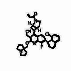 C=CC(=O)N1CC[C@@H]2[C@H]1CN2c1c(CC#N)c(OCC23CCCN2CCC3)nc2c(F)c(-c3cccc4cccc(Cl)c34)ccc12